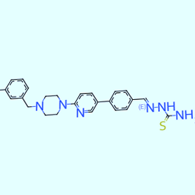 NC(=S)N/N=C/c1ccc(-c2ccc(N3CCN(Cc4cccc(Cl)c4)CC3)nc2)cc1